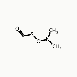 CN(C)OSC=O